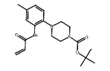 C=CC(=O)Nc1cc(C)ccc1N1CCN(C(=O)OC(C)(C)C)CC1